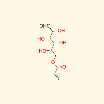 C=CC(=O)OC[C@@H](O)[C@@H](O)[C@H](O)[C@H](O)C=O